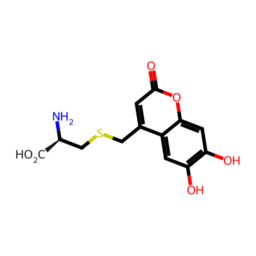 N[C@@H](CSCc1cc(=O)oc2cc(O)c(O)cc12)C(=O)O